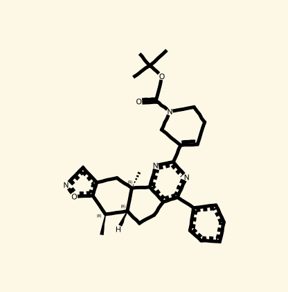 C[C@H]1c2oncc2C[C@@]2(C)c3nc(C4=CCCN(C(=O)OC(C)(C)C)C4)nc(-c4ccccc4)c3CC[C@H]12